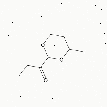 CCC(=O)C1OCCC(C)O1